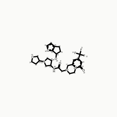 O=C(CN1CCn2c(cc(C(F)(F)F)cc2=O)C1)NC1CN(C2CCOC2)C[C@@H]1OC1CCc2ccoc21